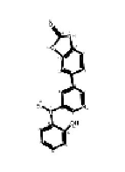 CCN(c1cncc(-c2ccc3[nH]c(=O)oc3c2)c1)c1ccccc1O